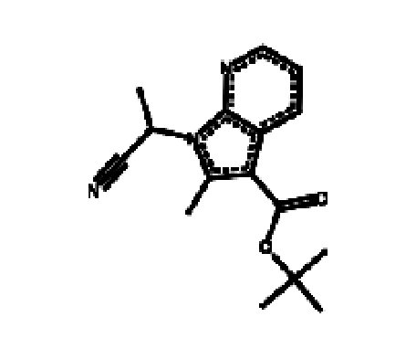 Cc1c(C(=O)OC(C)(C)C)c2cccnc2n1C(C)C#N